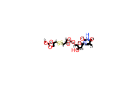 COC1OCC(CSSCC2COC(OCC3O[C@@H](n4cc(C)c(=O)[nH]c4=O)C[C@H]3O)O2)O1